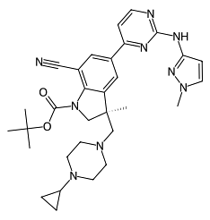 Cn1ccc(Nc2nccc(-c3cc(C#N)c4c(c3)[C@@](C)(CN3CCN(C5CC5)CC3)CN4C(=O)OC(C)(C)C)n2)n1